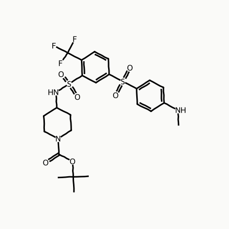 CNc1ccc(S(=O)(=O)c2ccc(C(F)(F)F)c(S(=O)(=O)NC3CCN(C(=O)OC(C)(C)C)CC3)c2)cc1